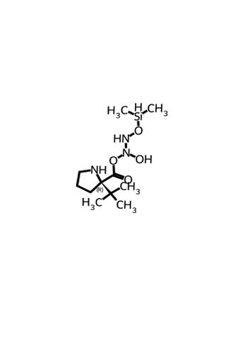 C[SiH](C)ONN(O)OC(=O)[C@]1(C(C)(C)C)CCCN1